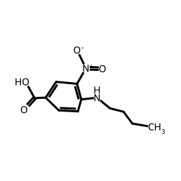 CCCCNc1ccc(C(=O)O)cc1[N+](=O)[O-]